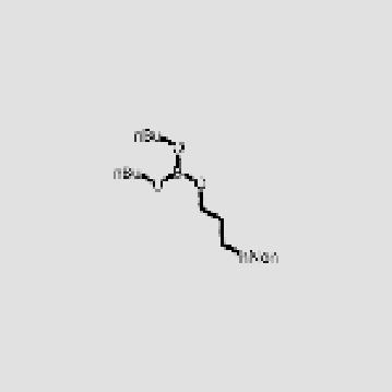 CCCCCCCCCCCCOB(OCCCC)OCCCC